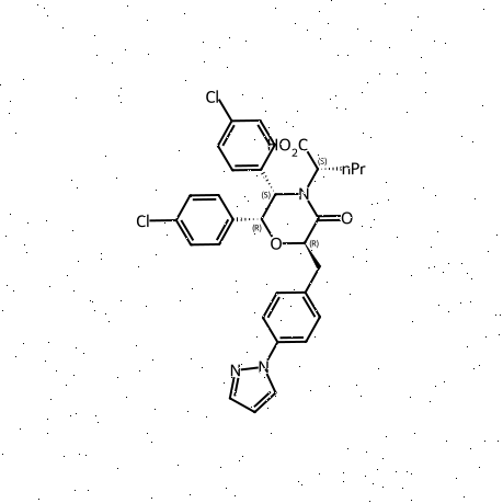 CCC[C@@H](C(=O)O)N1C(=O)[C@@H](Cc2ccc(-n3cccn3)cc2)O[C@H](c2ccc(Cl)cc2)[C@@H]1c1ccc(Cl)cc1